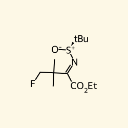 CCOC(=O)/C(=N/[S@@+]([O-])C(C)(C)C)C(C)(C)CF